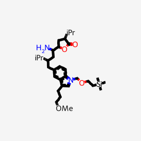 COCCCc1cn(COCC[Si](C)(C)C)c2ccc(CC(CC(N)C3CC(C(C)C)C(=O)O3)C(C)C)cc12